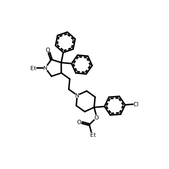 CCC(=O)OC1(c2ccc(Cl)cc2)CCN(CCC2CN(CC)C(=O)C2(c2ccccc2)c2ccccc2)CC1